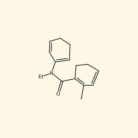 CCN(C(=O)C1=C(C)C=CCC1)C1=CCCC=C1